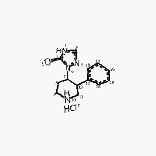 Cl.O=c1[nH]cnn1C1CCNCC1c1ccccc1